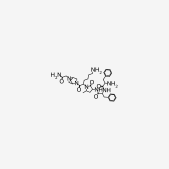 CC1CC(NC(=O)C(Cc2ccccc2)NC(=O)C(N)Cc2ccccc2)C(=O)N1C(CCCCN)C(=O)N1CC2CC1CN2CC(N)=O